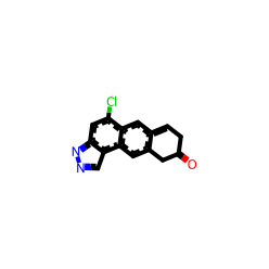 O=C1CC=c2cc3c(Cl)cc4c(c3cc2C1)C=NN=4